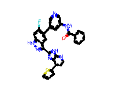 O=C(Nc1cncc(-c2cc3c(-c4nc5c(-c6cccs6)ccnc5[nH]4)n[nH]c3cc2F)c1)c1ccccc1